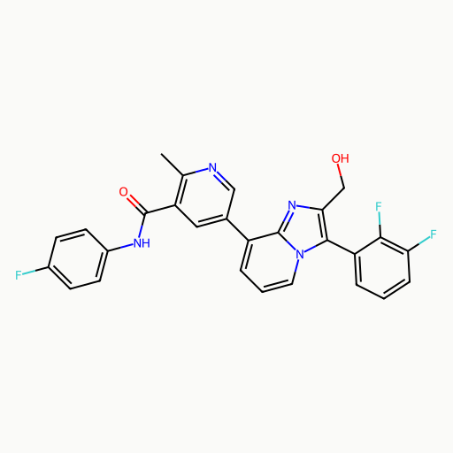 Cc1ncc(-c2cccn3c(-c4cccc(F)c4F)c(CO)nc23)cc1C(=O)Nc1ccc(F)cc1